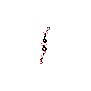 N#CCCOC(=O)/C=C/c1ccc(OC(=O)c2ccc(OCCOCCC3CO3)cc2)cc1